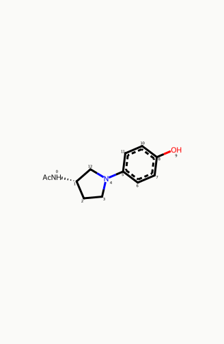 CC(=O)N[C@H]1CCN(c2ccc(O)cc2)C1